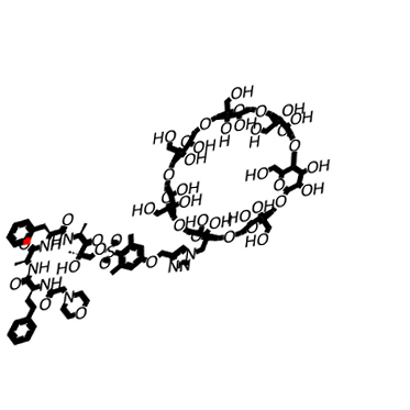 Cc1cc(OCc2cn(CC3OC4OC5C(CO)OC(OC6C(CO)OC(OC7C(CO)OC(OC8C(CO)OC(OC9C(CO)OC(OC%10C(CO)OC(OC3C(O)C4O)C(O)C%10O)C(O)C9O)C(O)C8O)C(O)C7O)C(O)C6O)C(O)C5O)nn2)cc(C)c1S(=O)(=O)OC[C@@](C)(O)C(=O)[C@H](C)NC(=O)[C@H](Cc1ccccc1)NC(=O)[C@H](C)NC(=O)[C@H](CCc1ccccc1)NC(=O)CN1CCOCC1